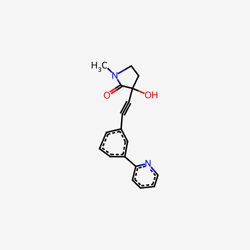 CN1CCC(O)(C#Cc2cccc(-c3ccccn3)c2)C1=O